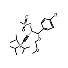 COCO[C@@H](c1ccc(Cl)cc1)[C@H](C#C[Si](C(C)C)(C(C)C)C(C)C)OS(C)(=O)=O